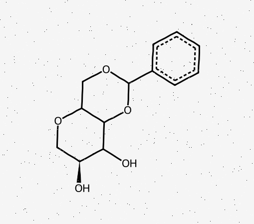 OC1C2OC(c3ccccc3)OCC2OC[C@@H]1O